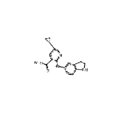 COC(=O)c1cc(C2CC2)cnc1Nc1ccc2c(c1)CCN2